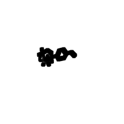 C=Cc1ccc([Si]2(C)CCC(C)(C)O[Si]2(C)C)cc1